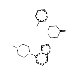 CN1CCN(c2cccc3nc([C@H]4CC(=O)C[C@@H](c5ncccc5Cl)N4)cn23)CC1